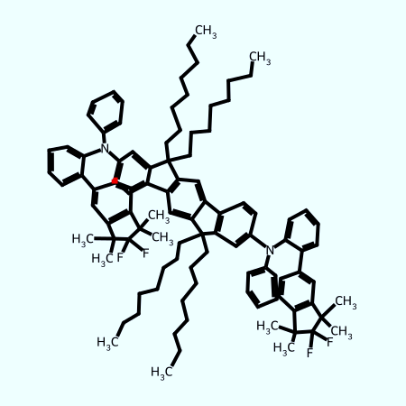 CCCCCCCCC1(CCCCCCCC)c2cc(N(c3ccccc3)c3ccccc3-c3ccc4c(c3)C(C)(C)C(F)(F)C4(C)C)ccc2-c2cc3c(cc21)-c1ccc(N(c2ccccc2)c2ccccc2-c2ccc4c(c2)C(C)(C)C(F)(F)C4(C)C)cc1C3(CCCCCCCC)CCCCCCCC